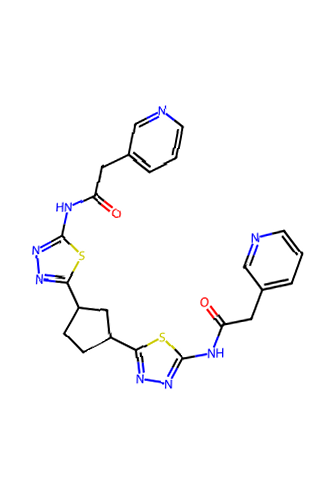 O=C(Cc1cccnc1)Nc1nnc(C2CCC(c3nnc(NC(=O)Cc4cccnc4)s3)C2)s1